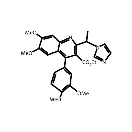 CCOC(=O)c1c(C(C)n2ccnc2)nc2cc(OC)c(OC)cc2c1-c1ccc(OC)c(OC)c1